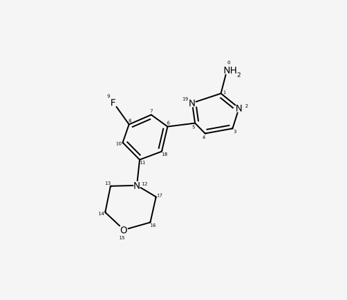 Nc1nccc(-c2cc(F)cc(N3CCOCC3)c2)n1